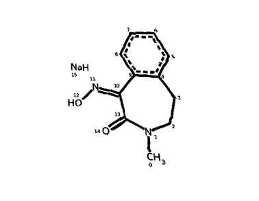 CN1CCc2ccccc2C(=NO)C1=O.[NaH]